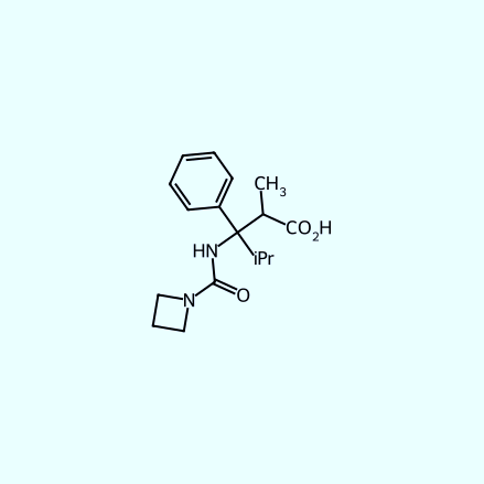 CC(C)C(NC(=O)N1CCC1)(c1ccccc1)C(C)C(=O)O